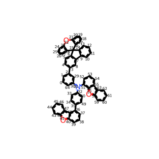 c1cc(-c2ccc3c(c2)-c2ccccc2C32c3ccccc3Oc3ccccc32)cc(N(c2ccc(-c3cccc4oc5ccccc5c34)cc2)c2cccc3c2oc2ccccc23)c1